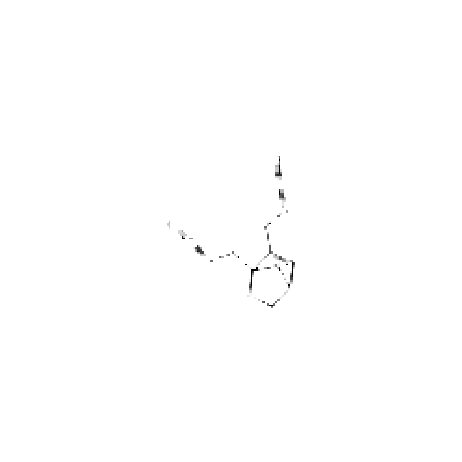 O=C=NCC1=CC2CCC1(CN=C=O)C2